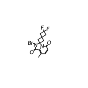 Cc1ccc(=O)n2c1C(=O)N(Br)C21CC2(CC(F)(F)C2)C1